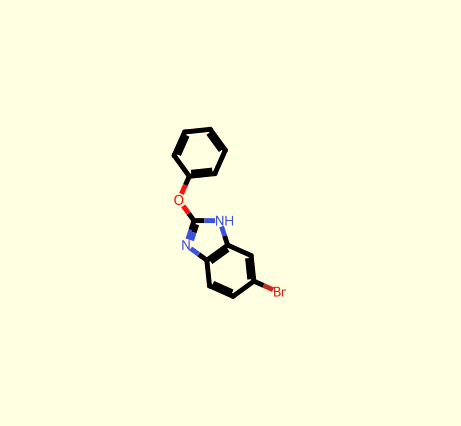 Brc1ccc2nc(Oc3ccccc3)[nH]c2c1